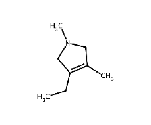 CCC1=C(C)CN(C)C1